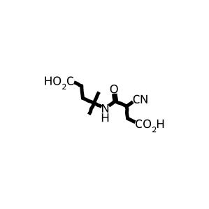 CC(C)(CCC(=O)O)NC(=O)C(C#N)CC(=O)O